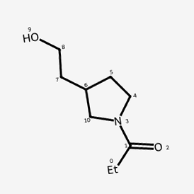 CCC(=O)N1CCC(CCO)C1